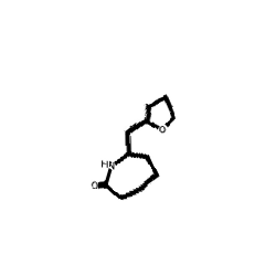 O=C1CCCCC(CC2CCCO2)N1